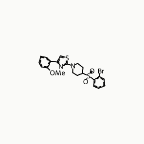 COc1ccccc1-c1csc(N2CCC(S(=O)(=O)c3ccccc3Br)CC2)n1